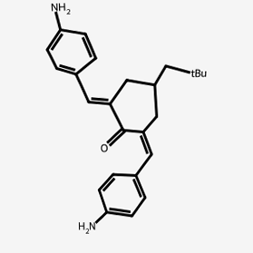 CC(C)(C)CC1CC(=Cc2ccc(N)cc2)C(=O)C(=Cc2ccc(N)cc2)C1